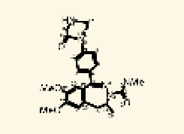 CNC(=O)N1N=C(c2ccc(N3CCNCC3=O)cc2)c2cc(OC)c(OC)cc2CC1C